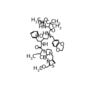 CCC(C)C(C(=O)NC(Cc1ccccc1)C(O)CN(Cc1ccc2c(c1)OCCO2)NC(=O)C(NC(=O)OC)C(C)(C)C)N1CCN(Cc2csc(COC)n2)C1=O